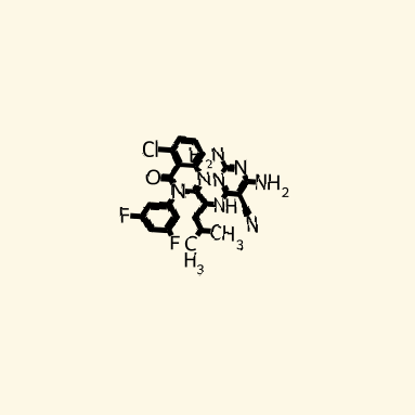 CC(C)CC(Nc1nc(N)nc(N)c1C#N)c1nc2cccc(Cl)c2c(=O)n1-c1cc(F)cc(F)c1